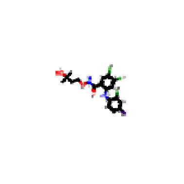 CC(C)(O)CCONC(=O)c1cc(F)c(F)cc1Nc1ccc(I)cc1F